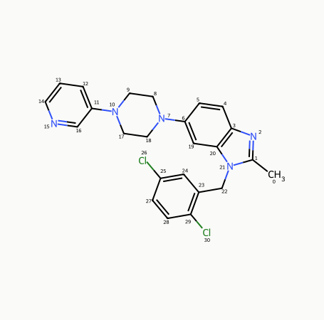 Cc1nc2ccc(N3CCN(c4cccnc4)CC3)cc2n1Cc1cc(Cl)ccc1Cl